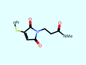 CCCSC1=CC(=O)N(CCC(=O)NC)C1=O